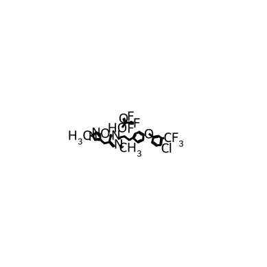 Cn1cc(Cc2cn(C)c(CCc3ccc(Oc4ccc(Cl)c(C(F)(F)F)c4)cc3)nc2=O)cn1.O=C(O)C(F)(F)F